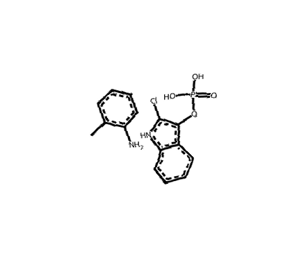 Cc1ccccc1N.O=P(O)(O)Oc1c(Cl)[nH]c2ccccc12